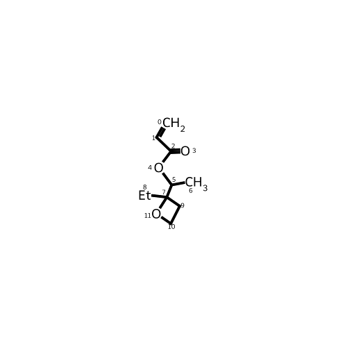 C=CC(=O)OC(C)C1(CC)CCO1